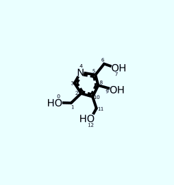 OCc1cnc(CO)c(O)c1CO